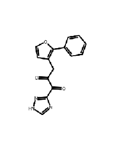 O=C(Cc1ccoc1-c1ccccc1)C(=O)c1nc[nH]n1